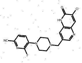 N#Cc1ccc(N2CCN(Cc3cnc4cc(Cl)c(=O)[nH]c4c3)CC2)c(F)n1